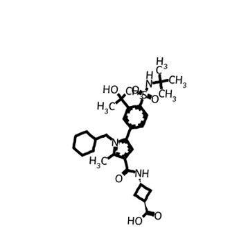 Cc1c(C(=O)N[C@H]2C[C@H](C(=O)O)C2)cc(-c2ccc(S(=O)(=O)NC(C)(C)C)c(C(C)(C)O)c2)n1CC1CCCCC1